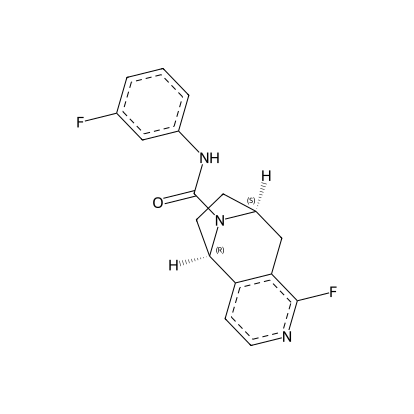 O=C(Nc1cccc(F)c1)N1[C@H]2CC[C@@H]1c1ccnc(F)c1C2